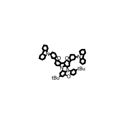 CC(C)(C)c1ccc2c(c1)B1c3c(cc(C(C)(C)C)cc3-n3c4ccc5c6cc(-n7c8ccccc8c8ccccc87)ccc6oc5c4c4c5oc6ccc(-n7c8ccccc8c8ccccc87)cc6c5cc1c43)O2